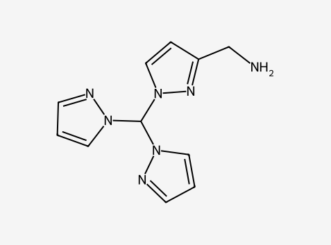 NCc1ccn(C(n2cccn2)n2cccn2)n1